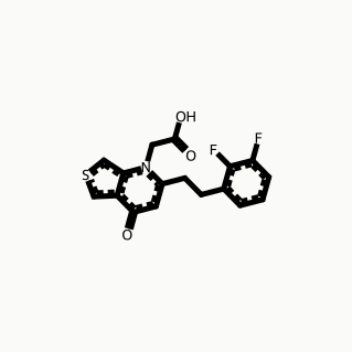 O=C(O)Cn1c(CCc2cccc(F)c2F)cc(=O)c2cscc21